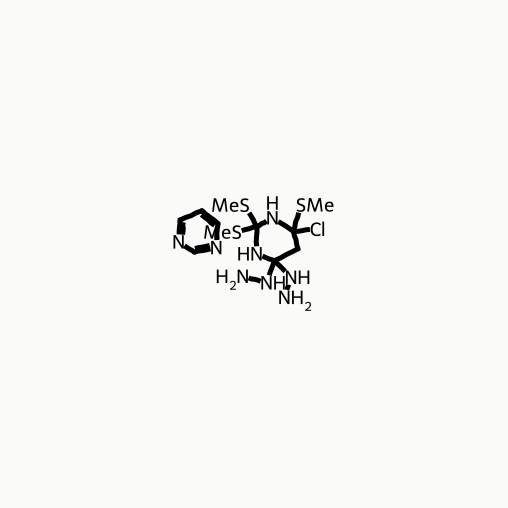 CSC1(Cl)CC(NN)(NN)NC(SC)(SC)N1.c1cncnc1